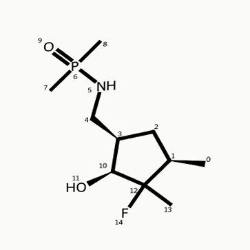 C[C@@H]1C[C@H](CNP(C)(C)=O)[C@H](O)C1(C)F